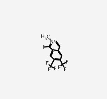 C[n+]1ccc2cc(C(F)(F)F)c(C(F)(F)F)cc2c1I